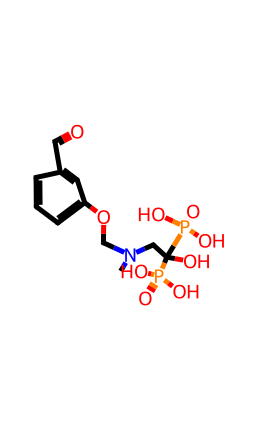 CN(COc1cccc(C=O)c1)CC(O)(P(=O)(O)O)P(=O)(O)O